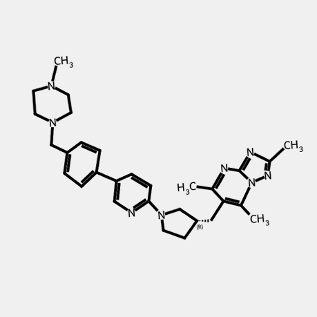 Cc1nc2nc(C)c(C[C@@H]3CCN(c4ccc(-c5ccc(CN6CCN(C)CC6)cc5)cn4)C3)c(C)n2n1